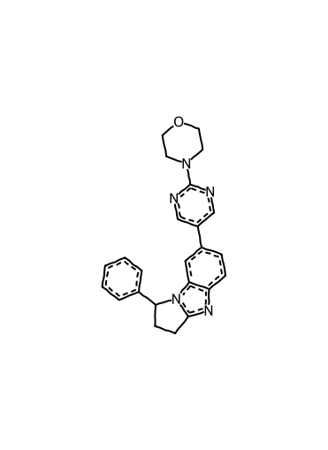 c1ccc(C2CCc3nc4ccc(-c5cnc(N6CCOCC6)nc5)cc4n32)cc1